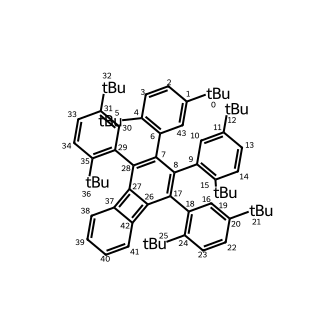 CC(C)(C)c1ccc(C(C)(C)C)c(-c2c(-c3cc(C(C)(C)C)ccc3C(C)(C)C)c(-c3cc(C(C)(C)C)ccc3C(C)(C)C)c3c(c2-c2cc(C(C)(C)C)ccc2C(C)(C)C)=c2ccccc2=3)c1